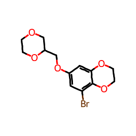 Brc1cc(OCC2COCCO2)cc2c1OCCO2